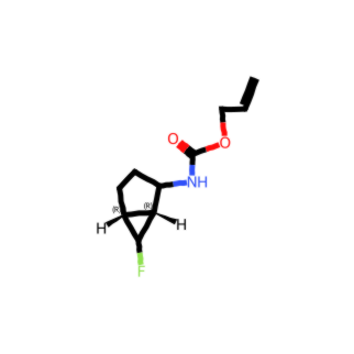 C=CCOC(=O)NC1CC[C@H]2C(F)[C@@H]12